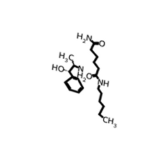 CCCCCCNC(=O)CCCCC(N)=O.C[C@@H](N)[C@@H](O)c1ccccc1